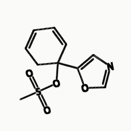 CS(=O)(=O)OC1(c2cnco2)C=CC=CC1